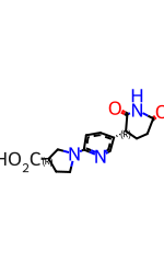 O=C1CC[C@H](c2ccc(N3CC[C@@H](C(=O)O)C3)nc2)C(=O)N1